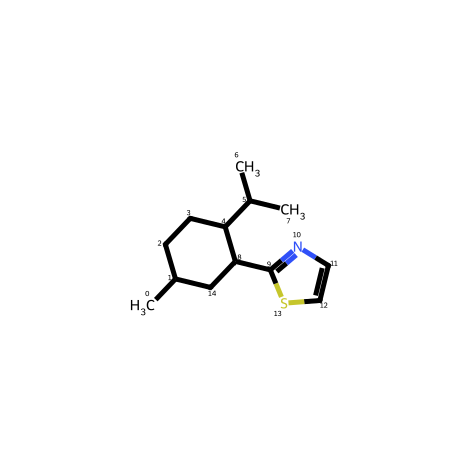 CC1CCC(C(C)C)[C](c2nccs2)C1